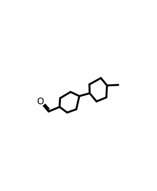 CC1CCC(C2CCC(C=O)CC2)CC1